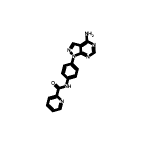 Nc1ncnc2c1cnn2-c1ccc(NC(=O)c2ccccn2)cc1